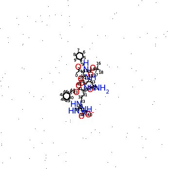 C[C@@H](OCc1ccccc1)[C@H](NC(=O)OC(C)(C)C)C(=O)N[C@@H](CC(N)=O)C(=O)N[C@@H](CCCNC(=N)N[N+](=O)[O-])C(=O)OCc1ccccc1